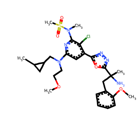 COCCN(CC1CC1C)c1cc(-c2nnc(C(C)(N)Cc3ccccc3OC)o2)c(Cl)c(N(C)S(C)(=O)=O)n1